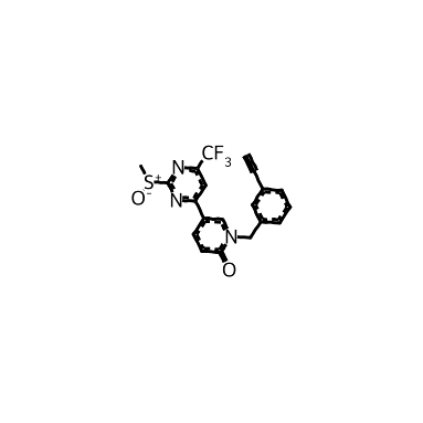 C#Cc1cccc(Cn2cc(-c3cc(C(F)(F)F)nc([S+](C)[O-])n3)ccc2=O)c1